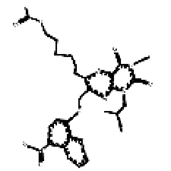 CC(=O)OCCCCCc1nc2c(=O)n(C)c(=O)n(CC(C)C)c2nc1COc1ccc([N+](=O)[O-])c2ccccc12